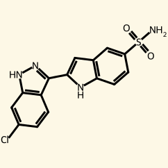 NS(=O)(=O)c1ccc2[nH]c(-c3n[nH]c4cc(Cl)ccc34)cc2c1